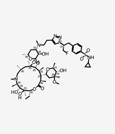 CC[C@H]1OC(=O)[C@H](C)[C@@H](C2C[C@@](C)(OC)[C@@H](O)[C@H](C)O2)[C@H](C)[C@@H](O[C@@H]2O[C@H](C)C[C@H](N(C)CCc3cn([C@H](CF)Cc4ccc(S(=O)(=O)NC5CC5)cc4)nn3)[C@H]2O)[C@](C)(O)C[C@@H](C)CN(C)[C@H](C)[C@@H](O)[C@]1(C)O